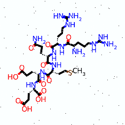 CSCC[C@@H](NC(=O)[C@H](CCC(N)=O)NC(=O)[C@H](CCCNC(=N)N)NC(=O)[C@@H](N)CCCNC(=N)N)C(=O)N[C@@H](CCC(=O)O)C(=O)N[C@@H](CCC(=O)O)C(=O)O